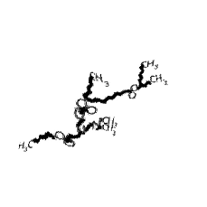 CCCCCCCOC(=O)CCN(CCOC(=O)OC(CCCCCC)CCCCCCCCC(=O)OCC(CCCC)CCCCCC)CCN(CC)CC